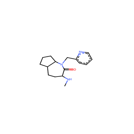 CNC1CCC2CCCC2N(Cc2ccccn2)C1=O